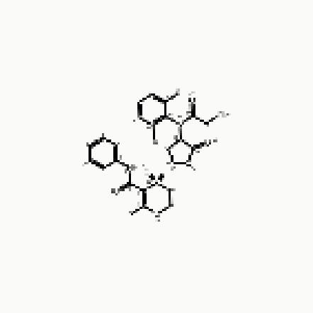 CC1=C(C(=O)Nc2ccccc2)S(=O)(=O)CCO1.Cc1cccc(C)c1N(C(=O)CCl)C1CCOC1=O